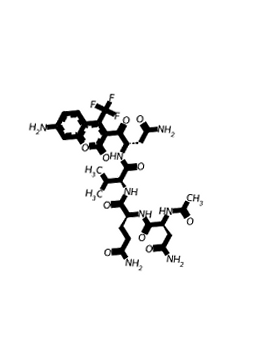 CC(=O)N[C@@H](CC(N)=O)C(=O)N[C@@H](CCC(N)=O)C(=O)N[C@H](C(=O)N[C@@H](CC(N)=O)C(=O)c1c(C(F)(F)F)c2ccc(N)cc2oc1=O)C(C)C